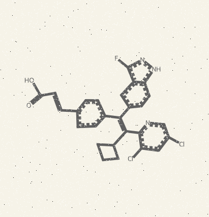 O=C(O)C=Cc1ccc(C(=C(c2ncc(Cl)cc2Cl)C2CCC2)c2ccc3[nH]nc(F)c3c2)cc1